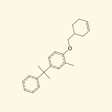 Cc1cc(C(C)(C)c2ccccc2)ccc1OCC1CC=CCC1